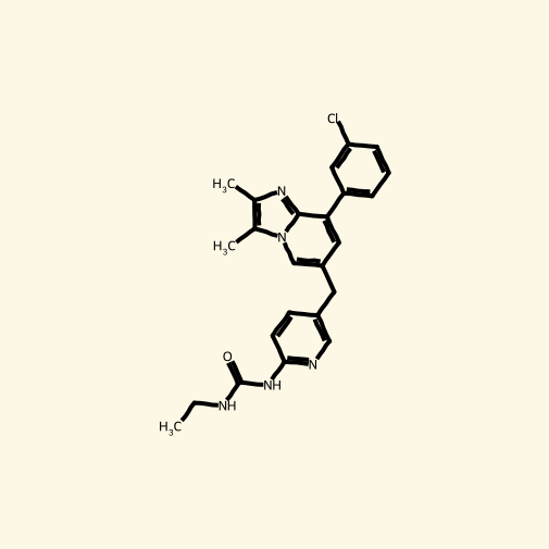 CCNC(=O)Nc1ccc(Cc2cc(-c3cccc(Cl)c3)c3nc(C)c(C)n3c2)cn1